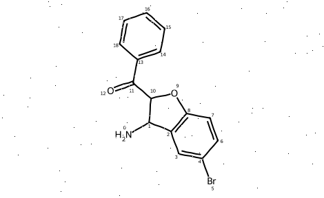 NC1c2cc(Br)ccc2OC1C(=O)c1ccccc1